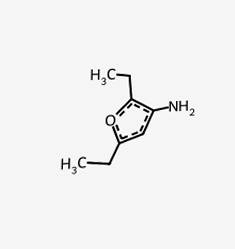 CCc1cc(N)c(CC)o1